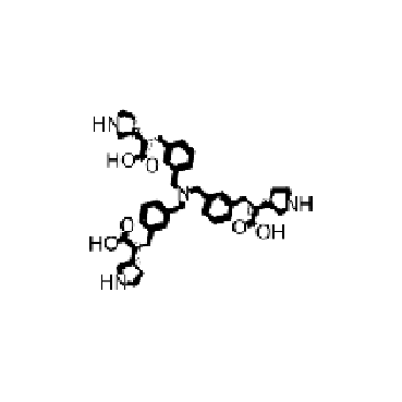 O=C(O)[C@@H](Cc1cccc(CN(Cc2cccc(C[C@H](C(=O)O)[C@H]3CCNC3)c2)Cc2cccc(C[C@H](C(=O)O)[C@H]3CCNC3)c2)c1)[C@H]1CCNC1